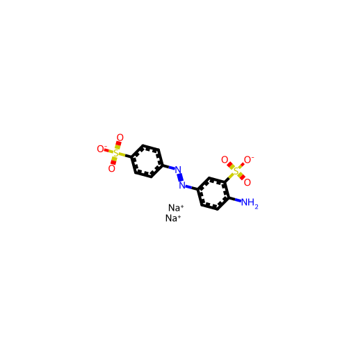 Nc1ccc(N=Nc2ccc(S(=O)(=O)[O-])cc2)cc1S(=O)(=O)[O-].[Na+].[Na+]